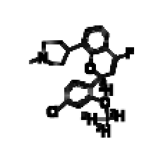 [2H]C([2H])([2H])Oc1cc(Cl)ccc1[C@@]1([2H])C=C(F)c2cccc(C3CCN(C)CC3)c2O1